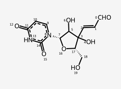 O=CC=CC1(O)C(O)[C@@H](n2ccc(=O)[nH]c2=O)O[C@H]1CO